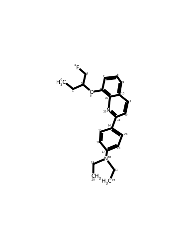 CCC(CF)Oc1cccc2ccc(-c3ccc(N(CC)CC)cc3)nc12